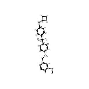 COc1nccc(COc2ccc(C(C)(C)c3ccc(OC4CCC4)cc3)cc2)n1